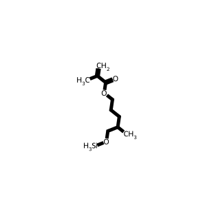 C=C(C)C(=O)OCCCC(C)CO[SiH3]